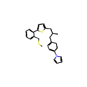 CSCc1ccccc1-c1ccc(CC(C)CC2=CC=C(n3cccc3)CC2)s1